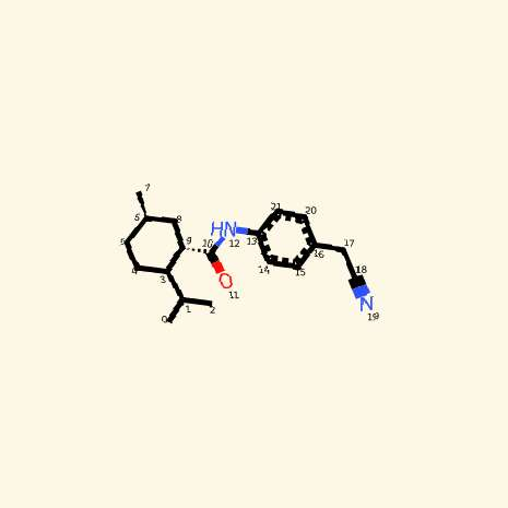 CC(C)C1CC[C@@H](C)C[C@@H]1C(=O)Nc1ccc(CC#N)cc1